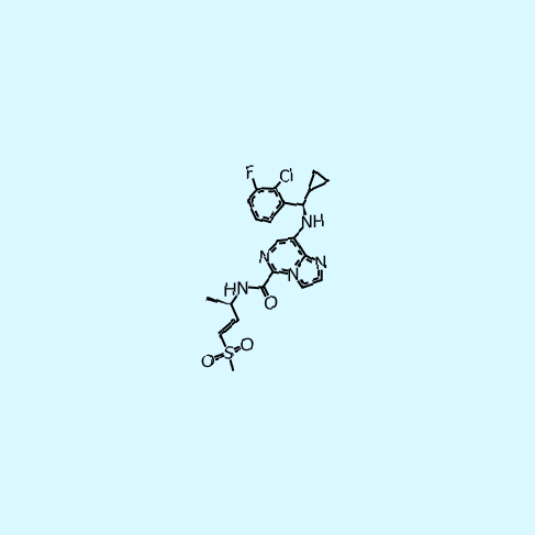 C[C@H](/C=C/S(C)(=O)=O)NC(=O)c1ncc(N[C@@H](c2cccc(F)c2Cl)C2CC2)c2nccn12